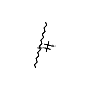 CCCCCCC(C)(C)C(C)(C)C(C)(C)C.CCCCCCCCCCCCCCCC